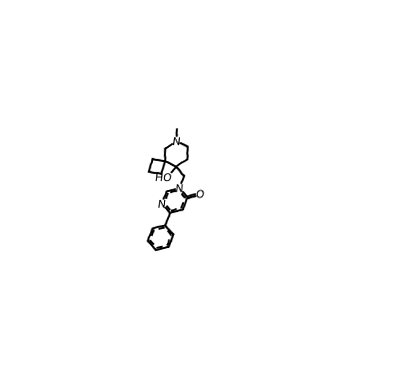 CN1CCC(O)(Cn2cnc(-c3ccccc3)cc2=O)C2(CCC2)C1